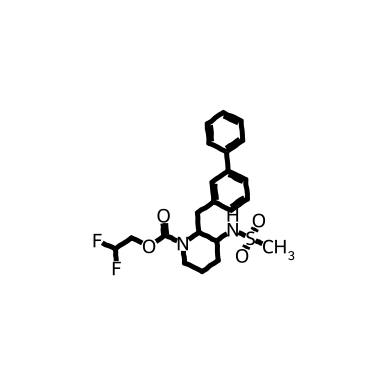 CS(=O)(=O)NC1CCCN(C(=O)OCC(F)F)C1Cc1cccc(-c2ccccc2)c1